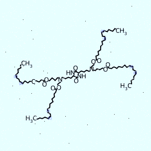 CCCCC/C=C\C/C=C\CCCCCCCC(=O)OCCCCN(CCCCC1NC(=O)C(CCCCN(CCCCOC(=O)CCCCCCC/C=C\C/C=C\CCCCC)CCOC(=O)CCCCCCC/C=C\C/C=C\CCCCC)NC1=O)CCOC(=O)CCCCCCC/C=C\C/C=C\CCCCC